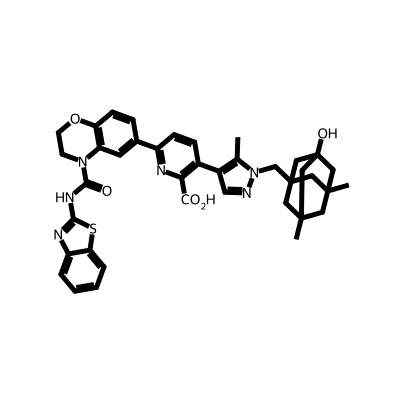 Cc1c(-c2ccc(-c3ccc4c(c3)N(C(=O)Nc3nc5ccccc5s3)CCO4)nc2C(=O)O)cnn1CC12CC3(C)CC(C)(CC(O)(C3)C1)C2